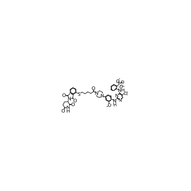 COc1cc(N2CCN(C(=O)CCCCSc3cccc4c3C(=O)N(C3CCC(=O)NC3=O)C4=O)CC2)ccc1Nc1ncc(Cl)c(Nc2ccccc2P(=O)(OC)OC)n1